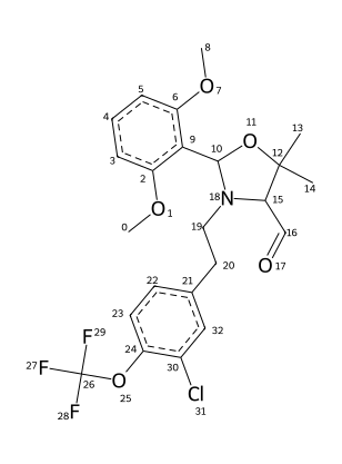 COc1cccc(OC)c1C1OC(C)(C)C(C=O)N1CCc1ccc(OC(F)(F)F)c(Cl)c1